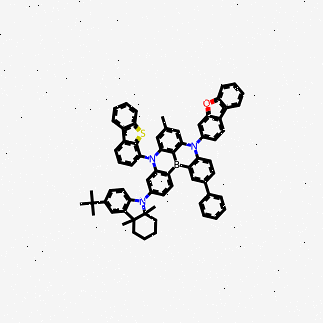 Cc1cc2c3c(c1)N(c1cccc4c1sc1ccccc14)c1cc(N4c5ccc(C(C)(C)C)cc5C5(C)CCCCC45C)ccc1B3c1cc(-c3ccccc3)ccc1N2c1ccc2c(c1)oc1ccccc12